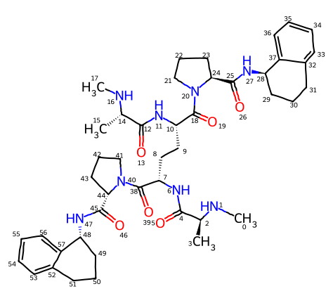 CN[C@@H](C)C(=O)N[C@@H](CC[C@H](NC(=O)[C@H](C)NC)C(=O)N1CCC[C@H]1C(=O)N[C@@H]1CCCc2ccccc21)C(=O)N1CCC[C@H]1C(=O)N[C@@H]1CCCc2ccccc21